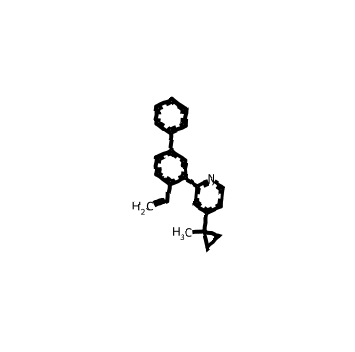 C=Cc1ccc(-c2ccccc2)cc1-c1cc(C2(C)CC2)ccn1